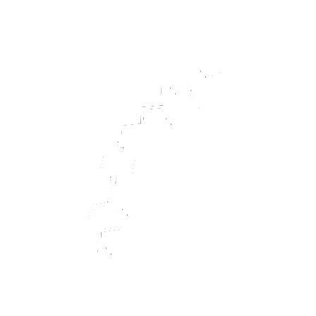 CCNC(=O)Nc1cc(CN2CCN(c3ccc(C#N)cn3)CC2)on1